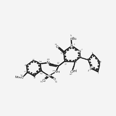 CCCCn1nc(-c2cccs2)c(O)c(C2=Nc3ccc(OC)cc3S(=O)(=O)N2)c1=O